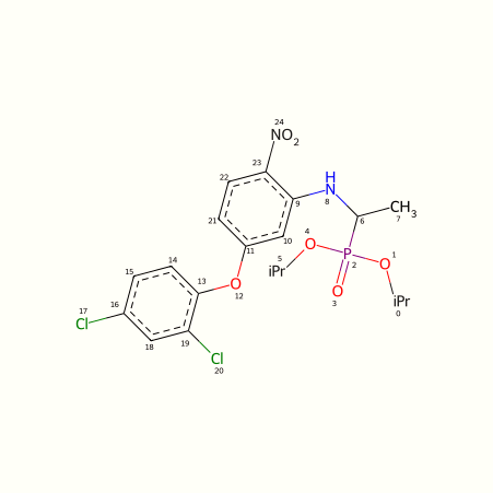 CC(C)OP(=O)(OC(C)C)C(C)Nc1cc(Oc2ccc(Cl)cc2Cl)ccc1[N+](=O)[O-]